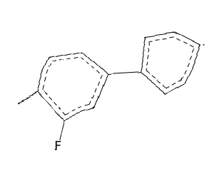 Cc1ccc(-c2cc[c]cc2)cc1F